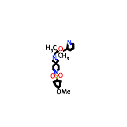 COc1ccc(S(=O)(=O)N2CCC3(CC2)CN(CC(C)(C)OCc2cccnc2)C3)cc1